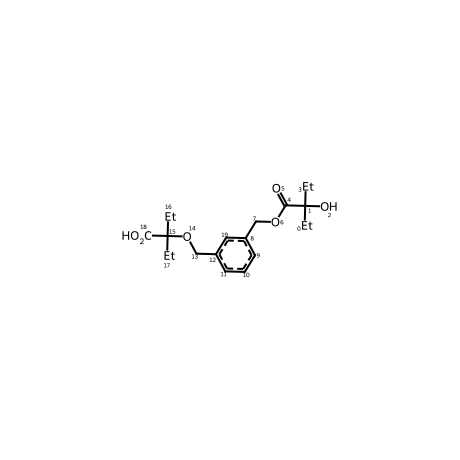 CCC(O)(CC)C(=O)OCc1cccc(COC(CC)(CC)C(=O)O)c1